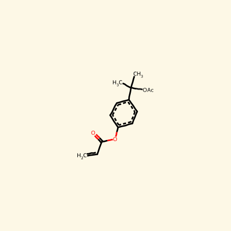 C=CC(=O)Oc1ccc(C(C)(C)OC(C)=O)cc1